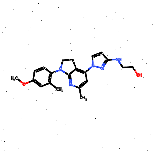 COc1ccc(N2CCc3c(-n4ccc(NCCO)n4)cc(C)nc32)c(C)c1